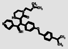 CC(C)c1ccc(COc2ccc(/C(C(=N)c3ccncc3)=C3/NCCN(CCN(C)C)C3=O)cc2)cc1